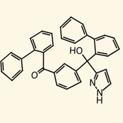 O=C(c1cccc(C(O)(c2cc[nH]n2)c2ccccc2-c2ccccc2)c1)c1ccccc1-c1ccccc1